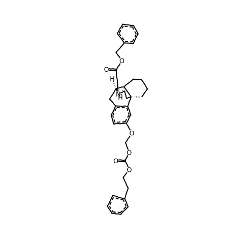 O=C(OCCc1ccccc1)OCOc1ccc2c(c1)[C@]13CCCC[C@@H]1[C@H](C2)N(C(=O)OCc1ccccc1)CC3